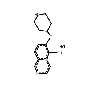 Cc1c(OC2CCNCC2)ccc2cnccc12.Cl